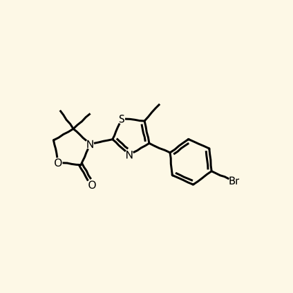 Cc1sc(N2C(=O)OCC2(C)C)nc1-c1ccc(Br)cc1